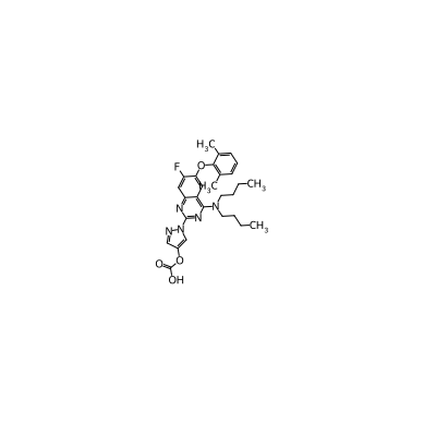 CCCCN(CCCC)c1nc(-n2cc(OC(=O)O)cn2)nc2cc(F)c(Oc3c(C)cccc3C)cc12